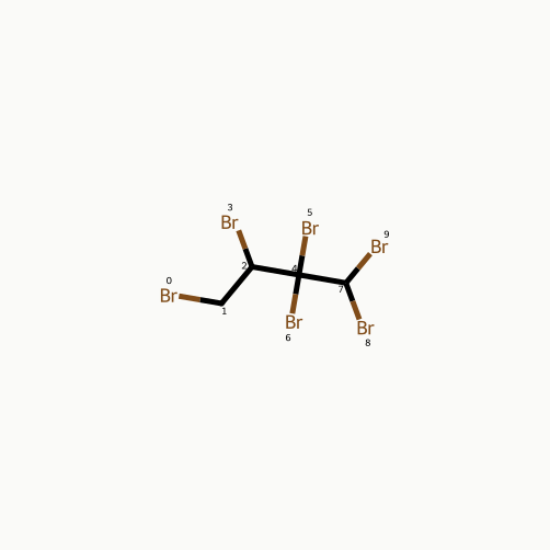 BrCC(Br)C(Br)(Br)C(Br)Br